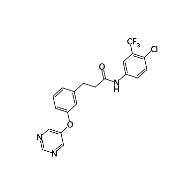 O=C(CCc1cccc(Oc2cncnc2)c1)Nc1ccc(Cl)c(C(F)(F)F)c1